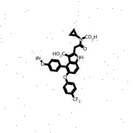 CC(C)Oc1ccc(-c2c(Oc3ccc(C(F)(F)F)cc3)ccc3[nH]c(CC(=O)N(C(=O)O)C4CC4)c(C(=O)O)c23)cc1